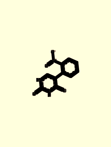 O=c1[nH]cc(-c2ccccc2[N+](=O)[O-])c(=O)[nH]1